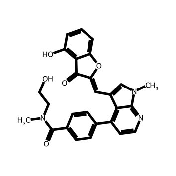 CN(CCO)C(=O)c1ccc(-c2ccnc3c2c(/C=C2\Oc4cccc(O)c4C2=O)cn3C)cc1